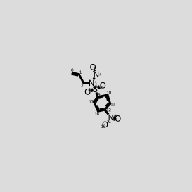 C=CCN(N=O)S(=O)(=O)c1ccc([N+](=O)[O-])cc1